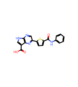 O=C(Nc1ccccc1)c1ccc(-c2cnc3[nH]cc(C(=O)O)c3n2)s1